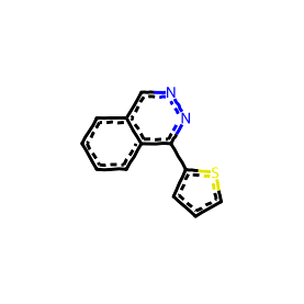 c1csc(-c2nncc3ccccc23)c1